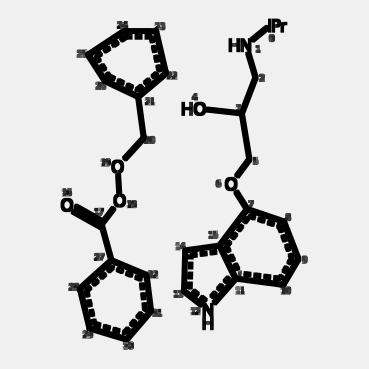 CC(C)NCC(O)COc1cccc2[nH]ccc12.O=C(OOCc1ccccc1)c1ccccc1